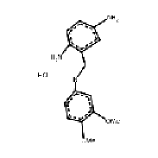 COc1ccc(NCc2cc(N)ccc2N)cc1OC.Cl